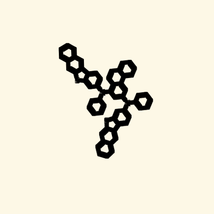 c1ccc(N(c2ccc3c(c2)sc2cc4ccccc4cc23)c2cc(N(c3ccccc3)c3ccc4c(c3)sc3cc5ccccc5cc34)c3ccc4ccccc4c3c2)cc1